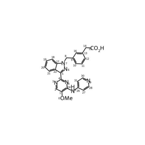 COc1cnc(-c2nn(Cc3cccc(CC(=O)O)c3)c3ccccc23)nc1Nc1ccncc1